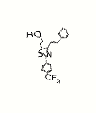 OCCc1sc(-c2ccc(C(F)(F)F)cc2)nc1CCc1ccccc1